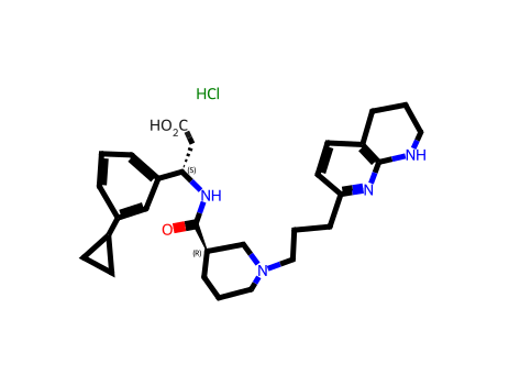 Cl.O=C(O)C[C@H](NC(=O)[C@@H]1CCCN(CCCc2ccc3c(n2)NCCC3)C1)c1cccc(C2CC2)c1